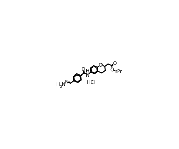 CCCOC(=O)CC1CCc2cc(NC(=O)c3ccc(C=NN)cc3)ccc2O1.Cl